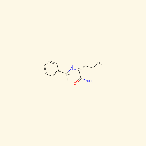 C[C@@H](N[C@H](CCC(F)(F)F)C(N)=O)c1ccccc1